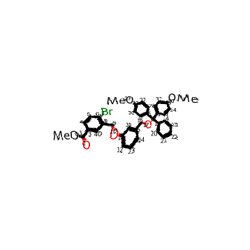 COC(=O)c1ccc(Br)c(COc2cccc(COC(c3ccccc3)(c3ccc(OC)cc3)c3ccc(OC)cc3)c2)c1